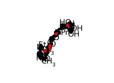 CCc1ccc(-c2ccc3ncc4c(c3c2)n(-c2ccc(N3CCN(C(=O)Oc5ccc(CC(=O)N6CCC(CCn7ccc8cc(-n9c(O)nnc9-c9cc(C(C)C)c(O)cc9O)ccc87)CC6)cc5)CC3)c(C(F)(F)F)c2)c(=O)n4C)cn1